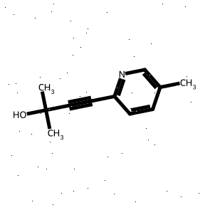 Cc1ccc(C#CC(C)(C)O)nc1